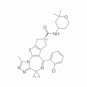 Cc1nnc2n1-c1sc3c(c1C(c1ccccc1Cl)=NC21CC1)C[C@H](C(=O)NC1CCOC(C)(C)C1)C3